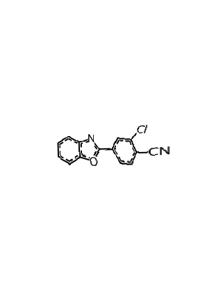 N#Cc1ccc(-c2nc3ccccc3o2)cc1Cl